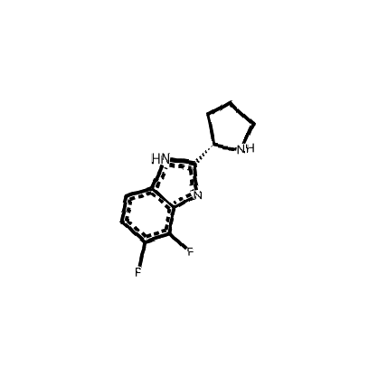 Fc1ccc2[nH]c([C@@H]3CCCN3)nc2c1F